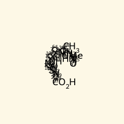 COc1nc(-c2cccc(-c3cccc(Nc4nccc5sc(CN6CCC(C(=O)O)CC6)nc45)c3Cl)c2Cl)cc(C)c1CNC[C@@H]1CCC(=O)N1